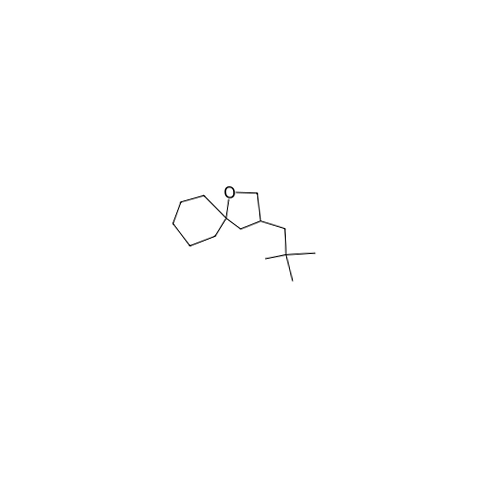 CC(C)(C)CC1COC2(CCCCC2)C1